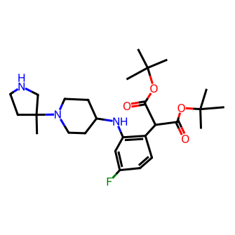 CC(C)(C)OC(=O)C(C(=O)OC(C)(C)C)c1ccc(F)cc1NC1CCN(C2(C)CCNC2)CC1